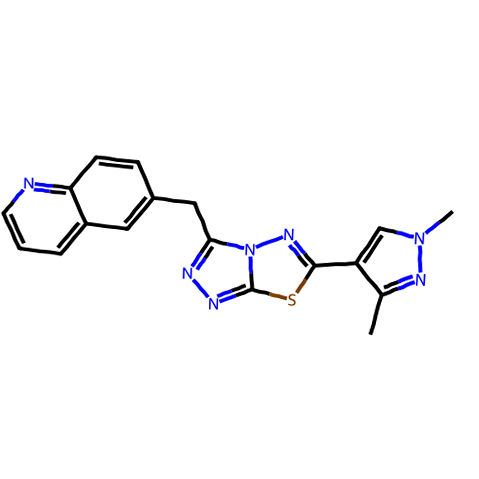 Cc1nn(C)cc1-c1nn2c(Cc3ccc4ncccc4c3)nnc2s1